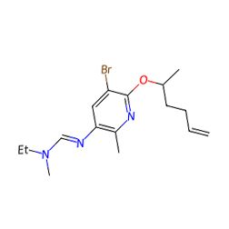 C=CCCC(C)Oc1nc(C)c(/N=C/N(C)CC)cc1Br